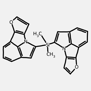 C[Si](C)(c1cc2cccc3c4occc4n1c23)c1cc2cccc3c4occc4n1c23